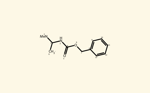 [CH2]C(NC)NC(=O)OCc1ccccc1